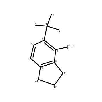 CC(C)(C)c1ccc2c(c1F)CCC2